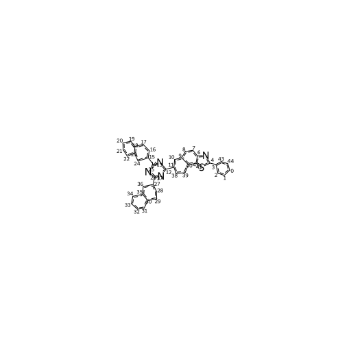 c1ccc(-c2nc3ccc4cc(-c5nc(-c6ccc7ccccc7c6)nc(-c6ccc7ccccc7c6)n5)ccc4c3s2)cc1